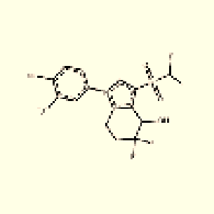 N#Cc1ccc(-n2cc(S(=O)(=O)C(F)F)c3c2CCC(F)(F)C3O)cc1C(F)(F)F